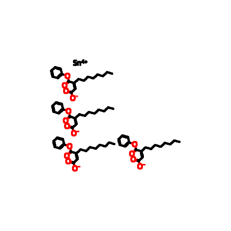 CCCCCCCC/C(=C/C(=O)[O-])C(=O)Oc1ccccc1.CCCCCCCC/C(=C/C(=O)[O-])C(=O)Oc1ccccc1.CCCCCCCC/C(=C/C(=O)[O-])C(=O)Oc1ccccc1.CCCCCCCC/C(=C/C(=O)[O-])C(=O)Oc1ccccc1.[Sn+4]